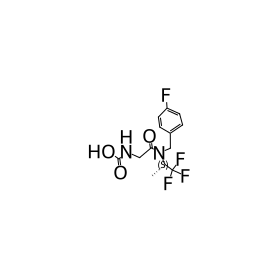 C[C@H](N(Cc1ccc(F)cc1)C(=O)CNC(=O)O)C(F)(F)F